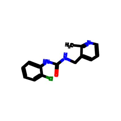 Cc1ncccc1CNC(=O)Nc1ccccc1Cl